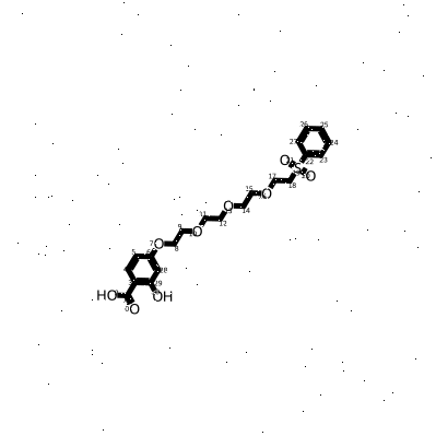 O=C(O)c1ccc(OCCOCCOCCOCCS(=O)(=O)c2ccccc2)cc1O